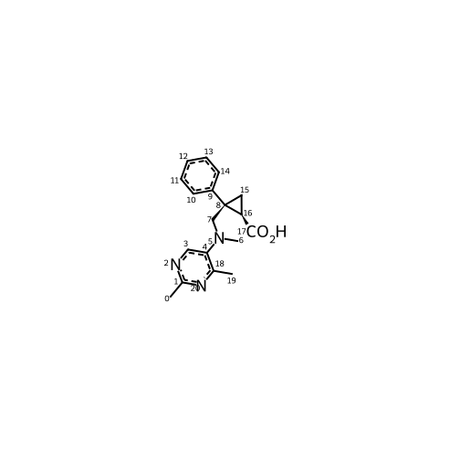 Cc1ncc(N(C)C[C@@]2(c3ccccc3)C[C@H]2C(=O)O)c(C)n1